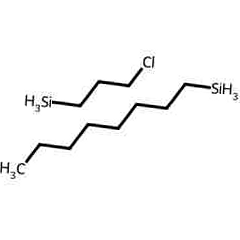 CCCCCCCC[SiH3].[SiH3]CCCCl